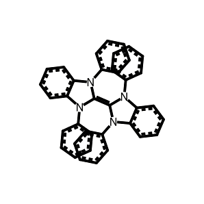 c1ccc(N2C(=C3N(c4ccccc4)c4ccccc4N3c3ccccc3)N(c3ccccc3)c3ccccc32)cc1